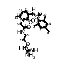 Cc1cc(C)c(S(=O)(=O)Nc2ccc(C)n(CC(=O)NCCONC(=N)N)c2=O)c(C)c1